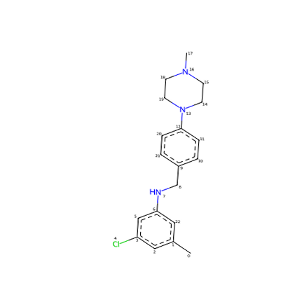 Cc1cc(Cl)cc(NCc2ccc(N3CCN(C)CC3)cc2)c1